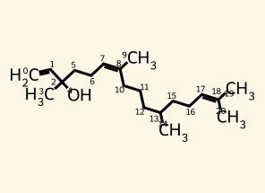 C=CC(C)(O)CCC=C(C)CCCC(C)CCC=C(C)C